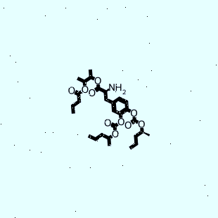 CCCC(=O)OC(C)C(C)OC(=O)[C@@H](N)Cc1ccc(OC(=O)O[C@@H](C)CCC)c(OC(=O)OC(C)CCC)c1